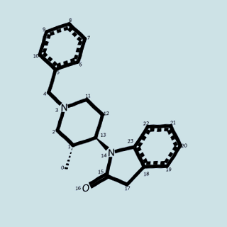 C[C@@H]1CN(Cc2ccccc2)CC[C@H]1N1C(=O)Cc2ccccc21